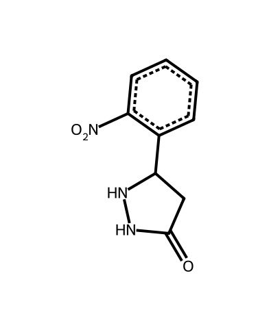 O=C1CC(c2ccccc2[N+](=O)[O-])NN1